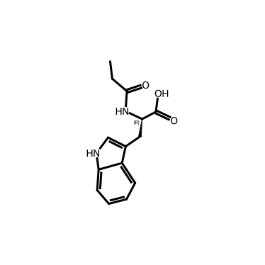 CCC(=O)N[C@H](Cc1c[nH]c2ccccc12)C(=O)O